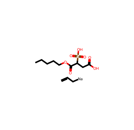 C=C[CH2][Na].CCCCCOC(=O)C(CC(=O)O)S(=O)(=O)O